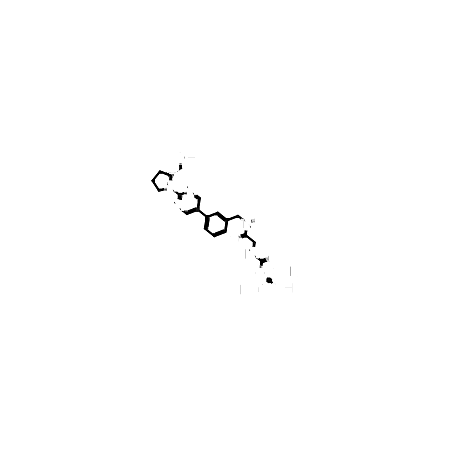 CN(Cc1cccc(-c2cnc(N3CCC[C@H]3CO)nc2)c1)C(=O)CNC(=O)OC(C)(C)C